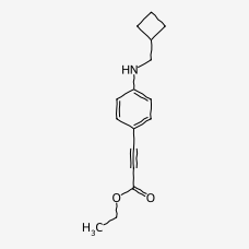 CCOC(=O)C#Cc1ccc(NCC2CCC2)cc1